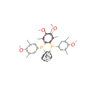 COc1c(C)cc(P(c2cc(C)c(OC)c(C)c2)[C]23[CH]4[CH]5[CH]6[C]2(P(c2cc(C)c(OC)c(C)c2)c2cc(C)c(OC)c(C)c2)[Fe]54632789[CH]3[CH]2[CH]7[CH]8[CH]39)cc1C